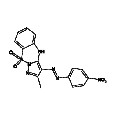 Cc1nn2c(c1/N=N/c1ccc([N+](=O)[O-])cc1)Nc1ccccc1S2(=O)=O